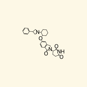 O=C1CCC(N2Cc3cc(OC4CCCCC4N4CC(c5ccccc5)C4)ccc3C2=O)C(=O)N1